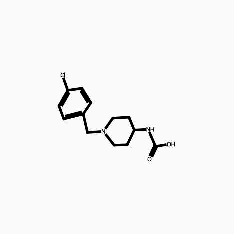 O=C(O)NC1CCN(Cc2ccc(Cl)cc2)CC1